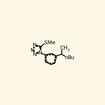 CCCCC(C)c1cccc(-n2nnnc2SC)c1